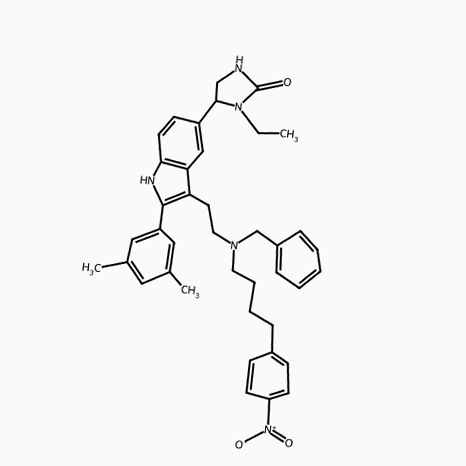 CCN1C(=O)NCC1c1ccc2[nH]c(-c3cc(C)cc(C)c3)c(CCN(CCCCc3ccc([N+](=O)[O-])cc3)Cc3ccccc3)c2c1